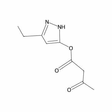 CCc1cc(OC(=O)CC(C)=O)[nH]n1